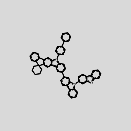 c1ccc(-c2ccc(-n3c4ccc(-c5ccc6c7ccccc7n(-c7ccc8c(c7)oc7ccccc78)c6c5)cc4c4cc5c(cc43)-c3ccccc3C53CCCCC3)cc2)cc1